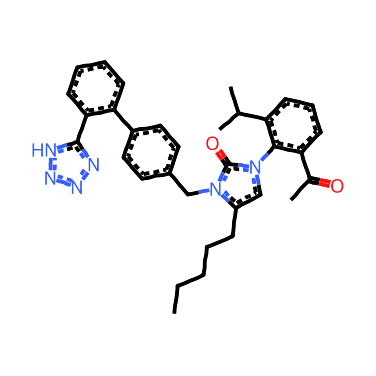 CCCCCc1cn(-c2c(C(C)=O)cccc2C(C)C)c(=O)n1Cc1ccc(-c2ccccc2-c2nnn[nH]2)cc1